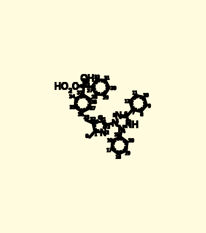 Cc1nc(N2N=C(c3ccccc3)NN2c2ccccc2)sc1C.O=C(O)C(O)(c1ccccc1)c1ccccc1